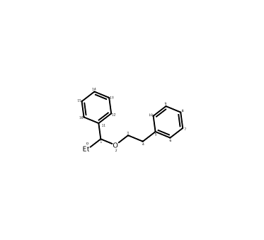 CCC(OCCc1ccccc1)c1ccccc1